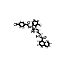 N=c1n(CC(=O)c2ccc(Cl)cc2)c2cccc(Cl)c2n1CCCNC(=O)c1cccc2cccnc12